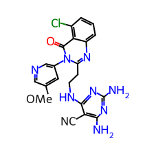 COc1cncc(-n2c(CCNc3nc(N)nc(N)c3C#N)nc3cccc(Cl)c3c2=O)c1